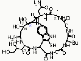 CCC(C)C1NC(=O)CNC(=O)C2NC(=O)C([C@@H](C)C(O)CO)NC(N)C[C@@H](O)/C(O)=C(\Nc3ccc4c2c(S)[nH]c4c3)C(=O)C(CC(N)=O)NC(=O)[C@H](C)NC(=O)CNC1=O